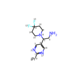 CC(C)c1ncc(C(CN)N2CCC(F)(F)CC2)cn1